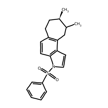 CC1Cc2c(ccc3c2ccn3S(=O)(=O)c2ccccc2)CC[C@H]1C